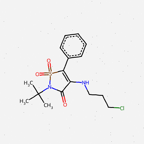 CC(C)(C)N1C(=O)C(NCCCCl)=C(c2ccccc2)S1(=O)=O